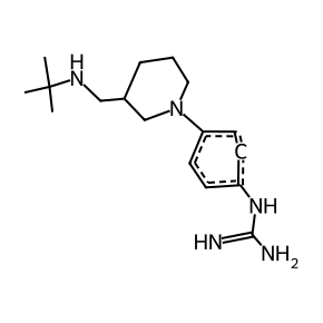 CC(C)(C)NCC1CCCN(c2ccc(NC(=N)N)cc2)C1